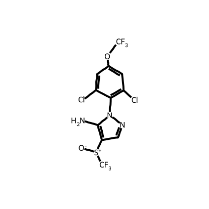 Nc1c([S+]([O-])C(F)(F)F)cnn1-c1c(Cl)cc(OC(F)(F)F)cc1Cl